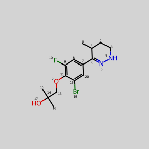 CC1CCNN=C1c1cc(F)c(OCC(C)(C)O)c(Br)c1